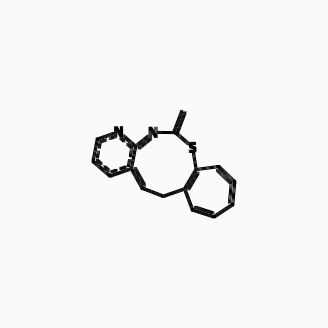 C=C1/N=c2/nccc/c2=C/CC2=C(C=C=CC=C2)S1